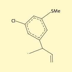 [CH2]C(C=C)c1cc(Cl)cc(SC)c1